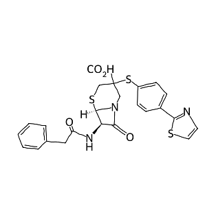 O=C(Cc1ccccc1)N[C@@H]1C(=O)N2CC(Sc3ccc(-c4nccs4)cc3)(C(=O)O)CS[C@H]12